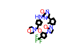 Cc1c(-c2cn(C)c(=O)c(Nc3ccc(C(=O)N4CCOCC4)cc3)n2)cccc1N1CCN(c2ccc(C(F)(F)F)cc2)C1=O